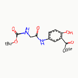 COC(=O)c1cc(NC(=O)CNC(=O)OC(C)(C)C)ccc1O